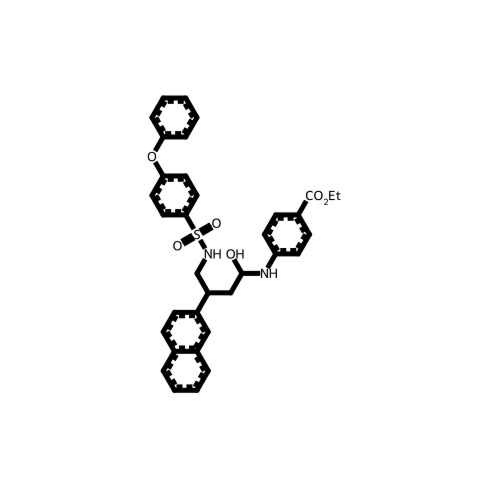 CCOC(=O)c1ccc(NC(O)CC(CNS(=O)(=O)c2ccc(Oc3ccccc3)cc2)c2ccc3ccccc3c2)cc1